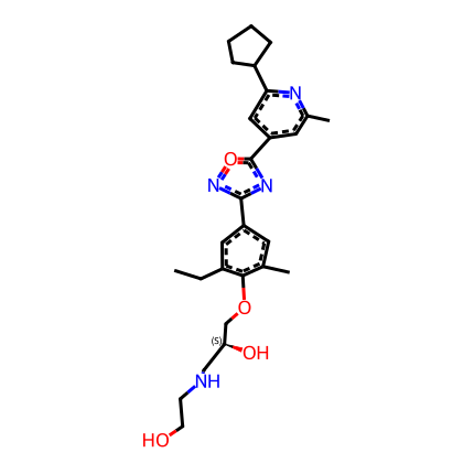 CCc1cc(-c2noc(-c3cc(C)nc(C4CCCC4)c3)n2)cc(C)c1OC[C@@H](O)CNCCO